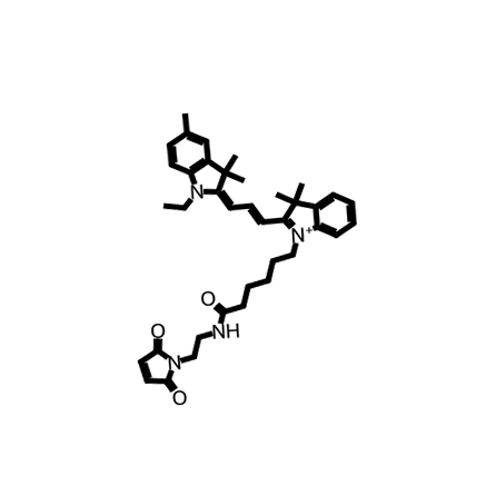 CCN1/C(=C/C=C/C2=[N+](CCCCCC(=O)NCCN3C(=O)C=CC3=O)c3ccccc3C2(C)C)C(C)(C)c2cc(C)ccc21